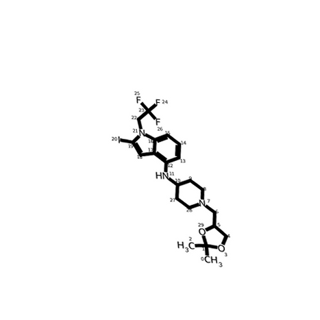 CC1(C)OCC(CN2CCC(Nc3cccc4c3cc(I)n4CC(F)(F)F)CC2)O1